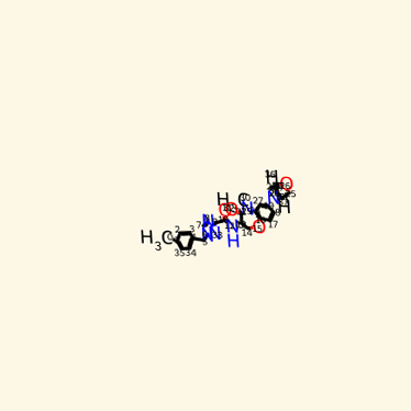 Cc1ccc(Cn2cnc(C(=O)N[C@H]3COc4ccc(N5C[C@@H]6C[C@H]5CO6)cc4N(C)C3=O)n2)cc1